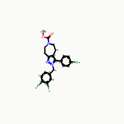 CC(C)(C)OC(=O)N1CCc2nn(Cc3ccc(F)c(F)c3)c(-c3ccc(Cl)cc3)c2CC1